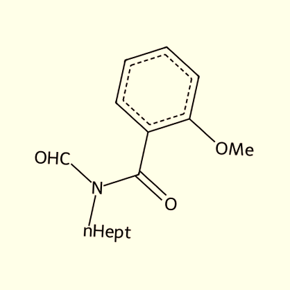 CCCCCCCN(C=O)C(=O)c1ccccc1OC